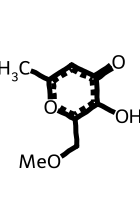 COCc1oc(C)cc(=O)c1O